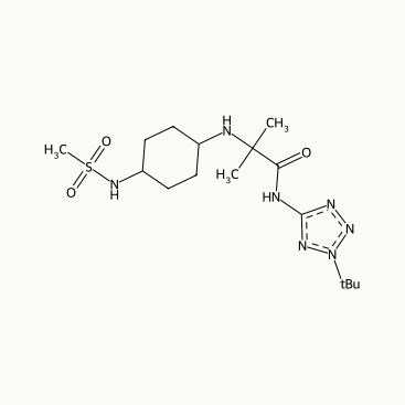 CC(C)(NC1CCC(NS(C)(=O)=O)CC1)C(=O)Nc1nnn(C(C)(C)C)n1